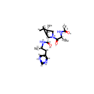 CC(C)(C)[C@H](NC(=O)C(F)(F)F)C(=O)N1C[C@H]2C([C@H]1C(=O)N[C@H](C#N)Cc1cncnc1)C2(C)C